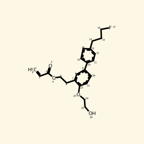 C=CC(=O)OCCc1cc(-c2ccc(CCCF)cc2)ccc1OCCO